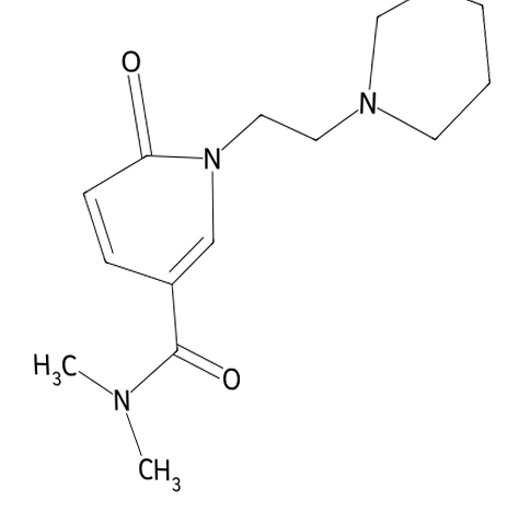 CN(C)C(=O)c1ccc(=O)n(CCN2CCCCC2)c1